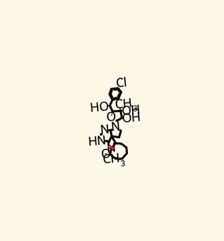 CO/N=C1\NC=NC2N([C@@H]3O[C@H]([C@H](O)c4ccc(Cl)cc4)[C@@](C)(O)[C@H]3O)CCC12C1CCCCCCC1